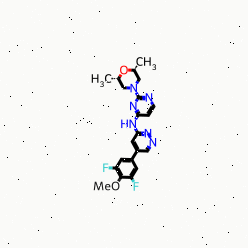 COc1c(F)cc(-c2cnnc(Nc3ccnc(N4C[C@@H](C)O[C@@H](C)C4)n3)c2)cc1F